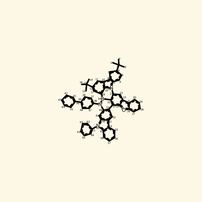 CC(C)(C)c1ccc2c(c1)c1cc(C(C)(C)C)cc3c1n2-c1cc2c(oc4ccccc42)c2c1B3N(c1ccc(-c3ccccc3)cc1)c1cc3c(cc1-2)c1ccccc1n3-c1ccccc1